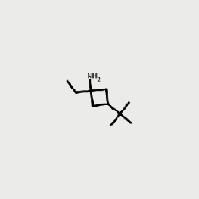 CCC1(N)CC(C(C)(C)C)C1